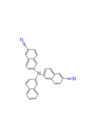 N#Cc1ccc2cc(N(c3ccc4ccccc4c3)c3ccc4cc(C#N)ccc4c3)ccc2c1